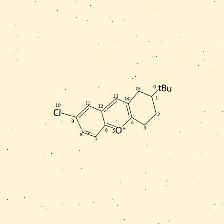 CC(C)(C)C1CCc2[o+]c3ccc(Cl)cc3cc2C1